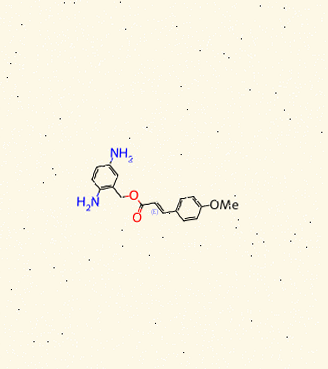 COc1ccc(/C=C/C(=O)OCc2cc(N)ccc2N)cc1